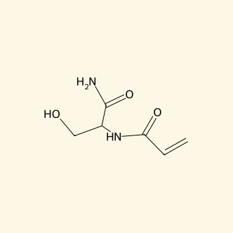 C=CC(=O)NC(CO)C(N)=O